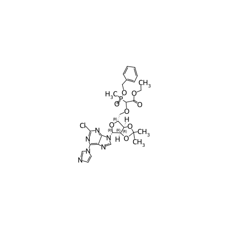 CCOC(=O)C(OC[C@H]1O[C@@H](n2cnc3c(-n4ccnc4)nc(Cl)nc32)[C@@H]2OC(C)(C)O[C@@H]21)P(C)(=O)OCc1ccccc1